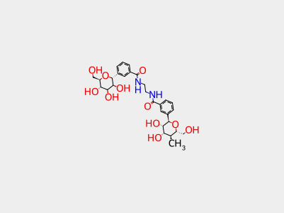 C[C@H]1[C@H](O)[C@H](O)[C@@H](c2cccc(C(=O)NCCNC(=O)c3cccc([C@H]4O[C@H](CO)[C@@H](O)[C@H](O)[C@@H]4O)c3)c2)O[C@@H]1CO